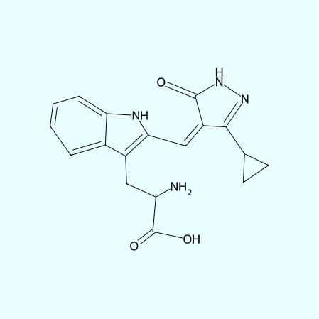 NC(Cc1c(C=C2C(=O)NN=C2C2CC2)[nH]c2ccccc12)C(=O)O